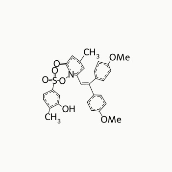 COc1ccc(C(=Cc2cc(C)cc(=O)n2OS(=O)(=O)c2ccc(C)c(O)c2)c2ccc(OC)cc2)cc1